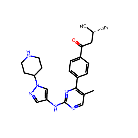 CCC[C@@H](C#N)CC(=O)c1ccc(-c2nc(Nc3cnn(C4CCNCC4)c3)ncc2C)cc1